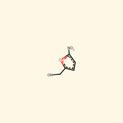 O=NCc1ccc([N+](=O)[O-])o1